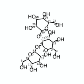 OC[C@H]1O[C@@H](OC2O[C@H](CO)[C@H](O)[C@H](O)[C@H]2O)[C@H](OC2O[C@H](CO)[C@H](O)[C@H](O)[C@H]2O)[C@@H](O)[C@H]1O